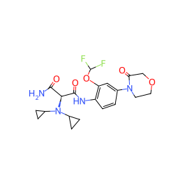 NC(=O)[C@@H](C(=O)Nc1ccc(N2CCOCC2=O)cc1OC(F)F)N(C1CC1)C1CC1